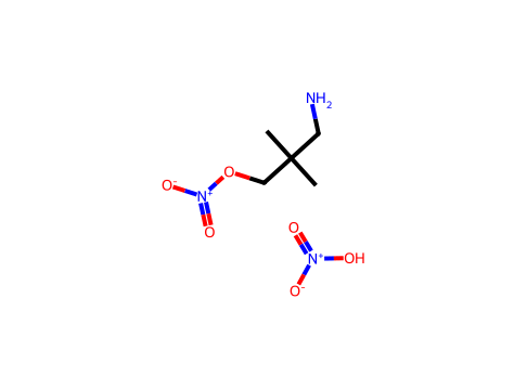 CC(C)(CN)CO[N+](=O)[O-].O=[N+]([O-])O